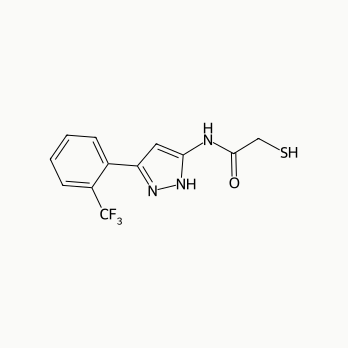 O=C(CS)Nc1cc(-c2ccccc2C(F)(F)F)n[nH]1